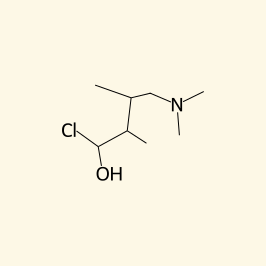 CC(CN(C)C)C(C)C(O)Cl